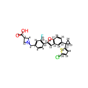 O=C(O)C1CN(Cc2ccc(-c3cc4cc(C5(c6ccc(Cl)s6)CC5)ccc4o3)c(F)c2)C1